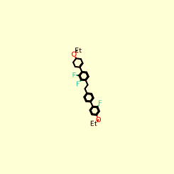 CCOc1ccc(-c2ccc(CCc3ccc(C4=CCC(OCC)CC4)c(F)c3F)cc2)c(F)c1